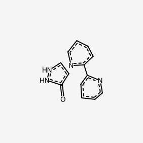 O=c1cc[nH][nH]1.c1ccc(-c2ccccn2)nc1